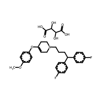 COc1ccc(OC2=CCN(CCCC(c3ccc(F)cc3)c3ccc(F)cc3)CC2)cc1.O=C(O)C(O)C(O)C(=O)O